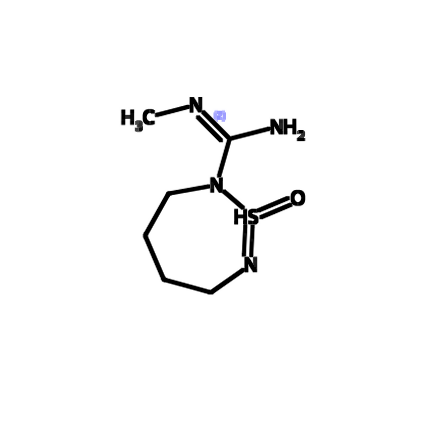 C/N=C(/N)N1CCCCN=[SH]1=O